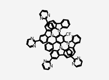 FC(F)(F)c1c(-n2c3ccccc3c3ccccc32)c(-n2c3ccc(-c4ncccn4)cc3c3cc(-c4ncccn4)ccc32)c(-c2ccccc2)c(-n2c3ccc(-c4ncccn4)cc3c3cc(-c4ncccn4)ccc32)c1-n1c2ccccc2c2ccccc21